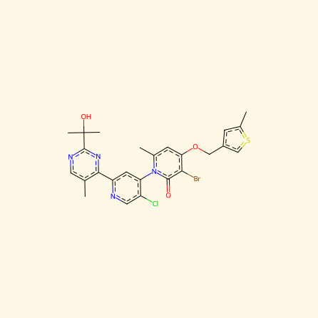 Cc1cc(COc2cc(C)n(-c3cc(-c4nc(C(C)(C)O)ncc4C)ncc3Cl)c(=O)c2Br)cs1